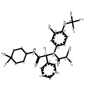 C[C@@](C(=O)NC1CCC(F)(F)CC1)(c1cncnc1)N(C(=O)[C@H](F)Cl)c1ccc(OC(F)(F)F)c(F)c1